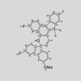 COc1ccc(C2(c3ccc(F)cc3)C=Cc3c4c(c5ccc(F)cc5c3O2)-c2ccc(C)cc2C4(C)C)cc1